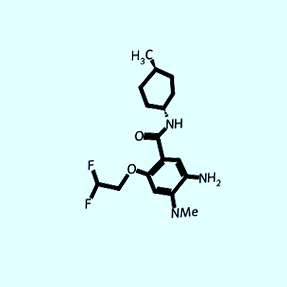 CNc1cc(OCC(F)F)c(C(=O)N[C@H]2CC[C@H](C)CC2)cc1N